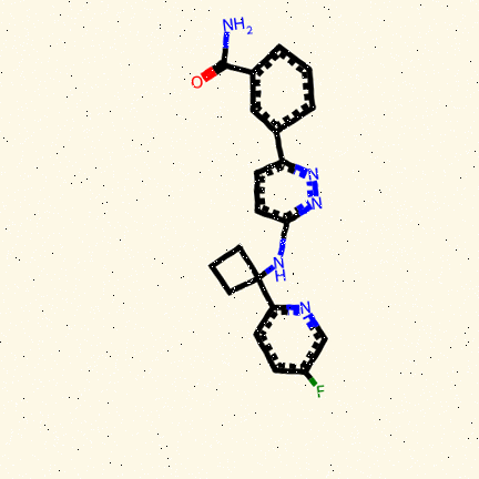 NC(=O)c1cccc(-c2ccc(NC3(c4ccc(F)cn4)CCC3)nn2)c1